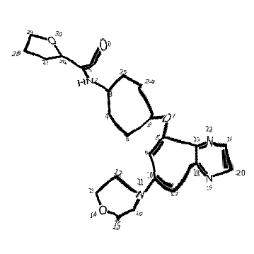 O=C(NC1CCC(Oc2cc(N3CCOCC3)cc3nccnc23)CC1)C1CCCO1